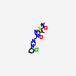 Cc1c(C(=O)N(C)C)sc2ncn(CCN3CCN(c4ccccc4Cl)CC3)c(=O)c12